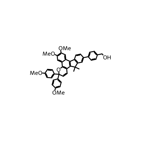 COc1ccc(C2(c3ccc(OC)cc3)C=Cc3c4c(c5cc(OC)c(OC)cc5c3O2)-c2ccc(-c3ccc(CO)cc3)cc2C4(C)C)cc1